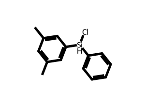 Cc1cc(C)cc([SiH](Cl)c2ccccc2)c1